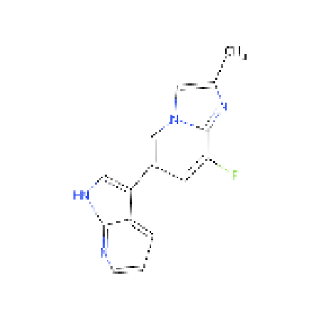 Cc1cn2cc(-c3c[nH]c4ncccc34)cc(F)c2n1